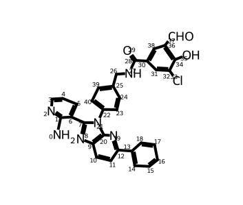 Nc1ncccc1-c1nc2ccc(-c3ccccc3)nc2n1-c1ccc(CNC(=O)c2cc(Cl)c(O)c(C=O)c2)cc1